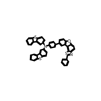 c1ccc(-c2nc3ccc4oc5ccc(-c6ccc(N(c7ccc8sc9ccccc9c8c7)c7ccc8sc9ccccc9c8c7)cc6)cc5c4c3s2)cc1